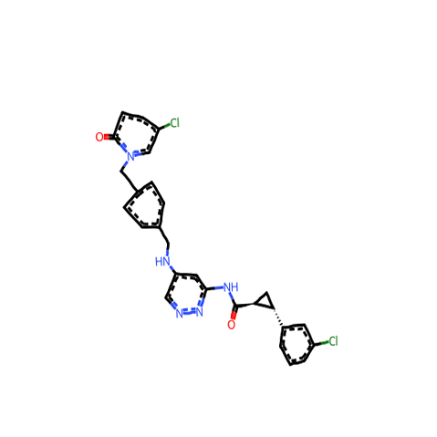 O=C(Nc1cc(NCc2ccc(Cn3cc(Cl)ccc3=O)cc2)cnn1)[C@H]1C[C@@H]1c1cccc(Cl)c1